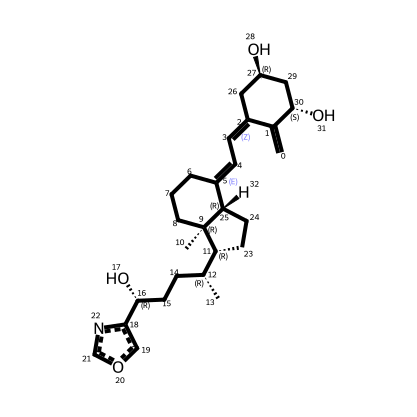 C=C1/C(=C\C=C2/CCC[C@]3(C)[C@@H]([C@H](C)CC[C@@H](O)c4cocn4)CC[C@@H]23)C[C@@H](O)C[C@@H]1O